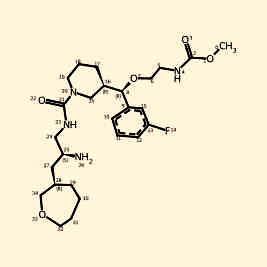 COC(=O)NCCO[C@@H](c1cccc(F)c1)[C@@H]1CCCN(C(=O)NC[C@@H](N)C[C@H]2CCCCOC2)C1